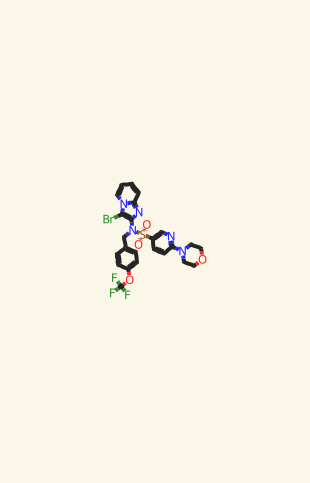 O=S(=O)(c1ccc(N2CCOCC2)nc1)N(Cc1ccc(OC(F)(F)F)cc1)c1nc2ccccn2c1Br